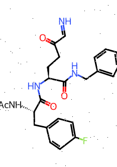 CC(=O)N[C@@H](Cc1ccc(F)cc1)C(=O)N[C@@H](CCC(=O)C=N)C(=O)NCc1ccccc1